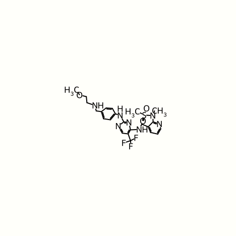 COCCNCc1ccc(Nc2ncc(C(F)(F)F)c(NCc3cccnc3N(C)S(C)(=O)=O)n2)cc1